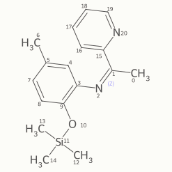 C/C(=N/c1cc(C)ccc1O[Si](C)(C)C)c1ccccn1